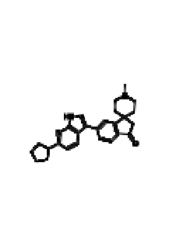 CN1CCC2(CC1)CC(=O)c1ccc(-c3c[nH]c4nc(C5CCCC5)ccc34)cc12